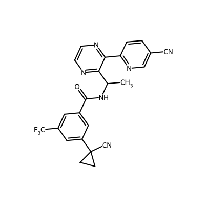 CC(NC(=O)c1cc(C(F)(F)F)cc(C2(C#N)CC2)c1)c1nccnc1-c1ccc(C#N)cn1